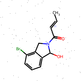 C/C=C/C(=O)N1Cc2c(Br)cccc2C1O